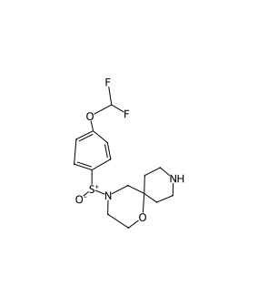 [O-][S+](c1ccc(OC(F)F)cc1)N1CCOC2(CCNCC2)C1